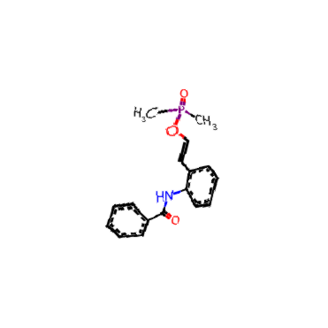 CP(C)(=O)OC=Cc1ccccc1NC(=O)c1ccccc1